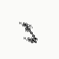 COC(=O)N[C@@H](C)C(=O)N1CCC[C@H]1C1=NCC(c2ccc(-c3ccc(-c4cnc([C@@H]5CCCN5C(=O)[C@@H]5CCC[C@H]5NC(=O)OC)[nH]4)cc3)cc2)N1